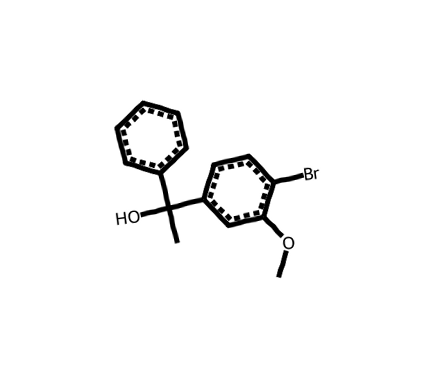 COc1cc(C(C)(O)c2ccccc2)ccc1Br